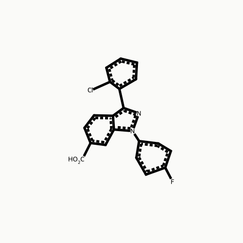 O=C(O)c1ccc2c(-c3ccccc3Cl)nn(-c3ccc(F)cc3)c2c1